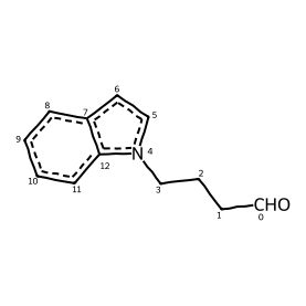 O=CCCCn1ccc2ccccc21